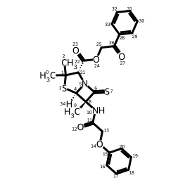 CC1(C)S[C@H]2N(C(=S)[C@]2(C)NC(=O)COc2ccccc2)[C@H]1C(=O)OCC(=O)c1ccccc1